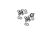 C1=C(c2cccc3ccccc23)C=[C]([Hf]([C]2=CC(c3cccc4ccccc34)=CC2)=[Si](c2ccccc2)c2ccccc2)C1.C1=C(c2cccc3ccccc23)C=[C]([Hf]([C]2=CC(c3cccc4ccccc34)=CC2)=[Si](c2ccccc2)c2ccccc2)C1.[Cl-].[Cl-]